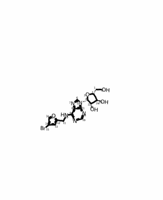 OC[C@H]1O[C@@H](n2cnc3c(NCc4cc(Br)co4)ncnc32)[C@@H](O)[C@@H]1O